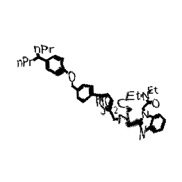 CCCC(CCC)c1ccc(OCc2ccc(-c3ccc(CN(CC(=O)O)Cc4nc5ccccc5n4CC(=O)N(CC)CC)s3)cc2)cc1